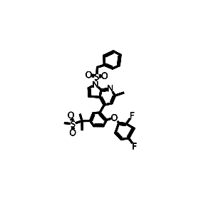 Cc1cc(-c2cc(C(C)(C)S(C)(=O)=O)ccc2Oc2ccc(F)cc2F)c2ccn(S(=O)(=O)Cc3ccccc3)c2n1